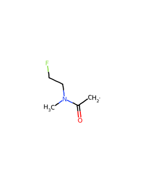 [CH2]C(=O)N(C)CCF